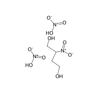 O=[N+]([O-])C(CO)CCO.O=[N+]([O-])O.O=[N+]([O-])O